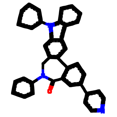 O=C1c2cc(-c3ccncc3)ccc2-c2cc3c4ccccc4n(-c4ccccc4)c3cc2CN1c1ccccc1